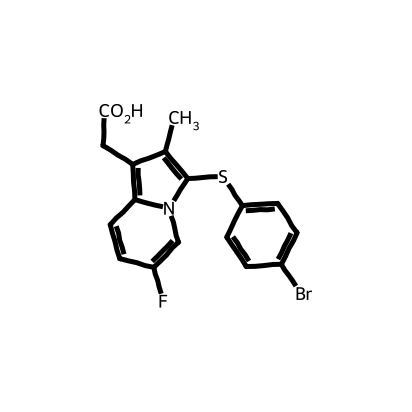 Cc1c(CC(=O)O)c2ccc(F)cn2c1Sc1ccc(Br)cc1